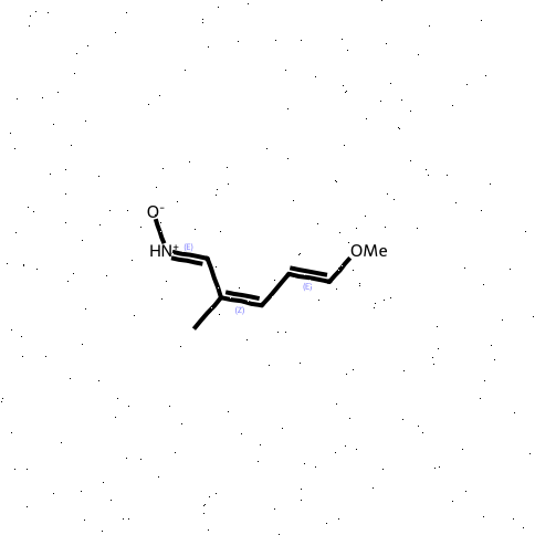 CO/C=C/C=C(C)\C=[NH+]\[O-]